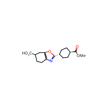 COC(=O)[C@H]1CC[C@H](c2nc3c(o2)CC(C(=O)O)CC3)CC1